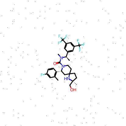 Cc1cc(F)ccc1[C@H]1CC2(CCN1C(=O)N(C)[C@H](C)c1cc(C(F)(F)F)cc(C(F)(F)F)c1)CC[C@@](C)(CO)N2